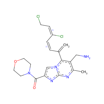 C=C(/C=C\C(Cl)=C/CCl)c1c(CN)c(C)nc2nc(C(=O)N3CCOCC3)cn12